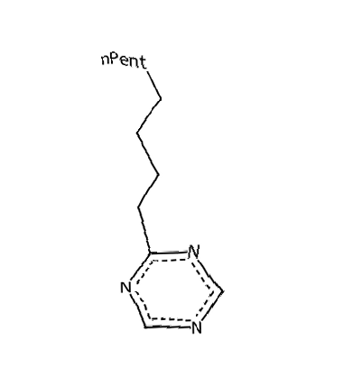 CCCCCCCCCc1ncncn1